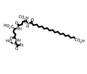 CCC(=O)[C@H](CO)NC(=O)CC[C@H](NC(=O)CC[C@H](NC(=O)CCCCCCCCCCCCCCCCC(=O)O)C(=O)O)C(=O)O